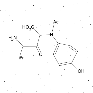 CC(=O)N(c1ccc(O)cc1)C(C(=O)O)C(=O)C(N)C(C)C